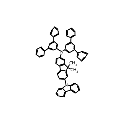 CC1(C)c2cc(N(c3cc(-c4ccccc4)cc(-c4ccccc4)c3)c3cc(-c4ccccc4)cc(-c4ccccc4)c3)ccc2-c2ccc(-n3c4ccccc4c4ccccc43)cc21